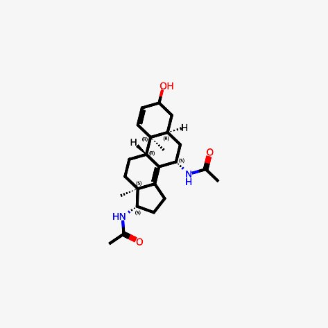 CC(=O)N[C@H]1C[C@@H]2CC(O)C=C[C@]2(C)[C@H]2CC[C@@]3(C)C(=C12)CC[C@@H]3NC(C)=O